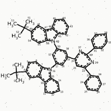 CC(C)(C)c1ccc2c(c1)c1ccccc1n2-c1cc(-c2cc(-c3ccccc3)nc(-c3ccccc3)n2)cc(-n2c3ccccc3c3cc(C(C)(C)C)ccc32)c1